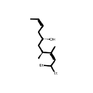 C/C=C\C[C@H](O)C[C@H](C)/C(C)=C\C(CC)CC